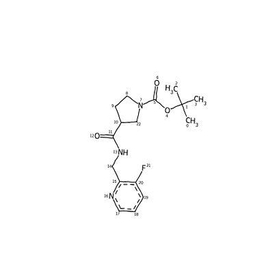 CC(C)(C)OC(=O)N1CCC(C(=O)NCc2ncccc2F)C1